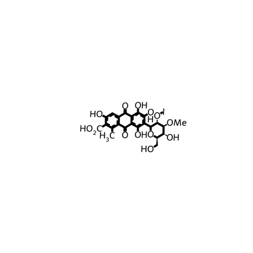 CO[C@H]1[C@H](O)[C@@H](CO)OC(c2c(O)c(O)c3c(c2O)C(=O)c2c(cc(O)c(C(=O)O)c2C)C3=O)[C@@H]1OI